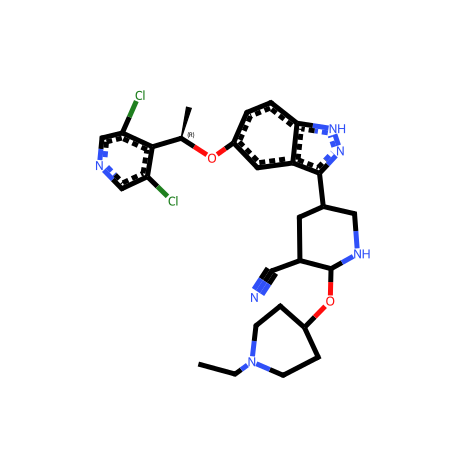 CCN1CCC(OC2NCC(c3n[nH]c4ccc(O[C@H](C)c5c(Cl)cncc5Cl)cc34)CC2C#N)CC1